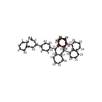 c1ccc2ncc(-c3ccc(-c4c5ccccc5c(-c5cccc6cccc(-c7ccncc7)c56)c5ccccc45)cc3)cc2c1